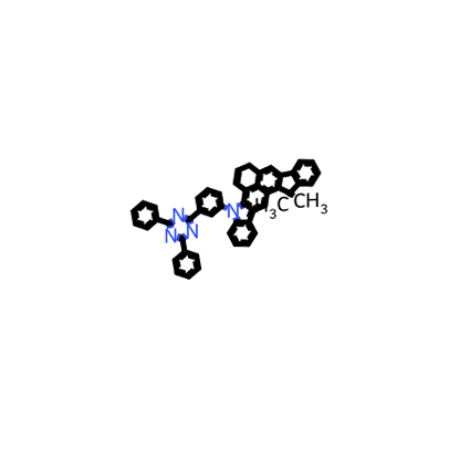 CC1(C)c2ccccc2-c2cc3c4c(c5c(cc4c21)c1ccccc1n5-c1cccc(-c2nc(-c4ccccc4)nc(-c4ccccc4)n2)c1)C=CC3